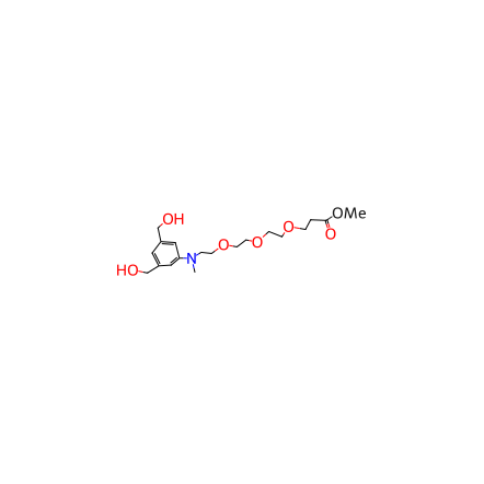 COC(=O)CCOCCOCCOCCN(C)c1cc(CO)cc(CO)c1